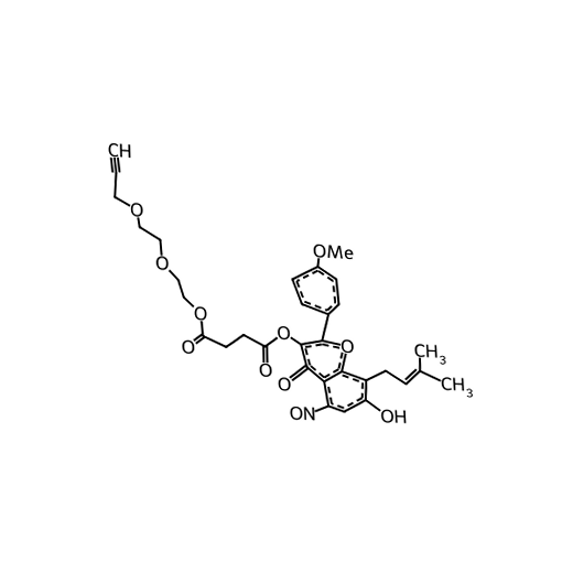 C#CCOCCOCCOC(=O)CCC(=O)Oc1c(-c2ccc(OC)cc2)oc2c(CC=C(C)C)c(O)cc(N=O)c2c1=O